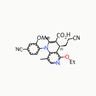 CCOc1ncc(C)c2c1[C@H](CCC#N)C(C(=O)O)=C(C)N2c1ccc(C#N)cc1OC